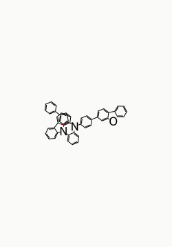 c1ccc(-c2ccc(N(c3ccc(-c4ccc5c(c4)oc4ccccc45)cc3)c3ccccc3-n3c4ccccc4c4ccccc43)cc2)cc1